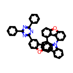 c1ccc(-c2nc(-c3ccccc3)nc(-c3ccc4oc5cccc(-c6cccc7oc8cccc(-n9c%10ccccc%10c%10ccccc%109)c8c67)c5c4c3)n2)cc1